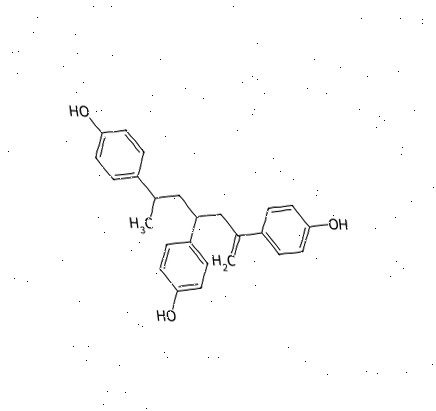 C=C(CC(CC(C)c1ccc(O)cc1)c1ccc(O)cc1)c1ccc(O)cc1